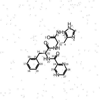 NC(=O)[C@H](Cc1c[nH]cn1)NC(=O)[C@H](Cc1ccccc1)NC(=O)c1cnccn1